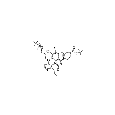 CCCc1nccc(OCCCO[Si](C)(C)C(C)(C)C)c1-n1c(=O)nc(N2CCN(C(=O)OC(C)(C)C)C[C@@H]2C)c2cc(F)c(Cl)nc21